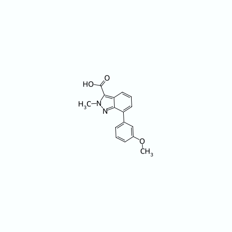 COc1cccc(-c2cccc3c(C(=O)O)n(C)nc23)c1